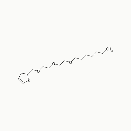 CCCCCCCOCCOCCOCC1CC=CS1